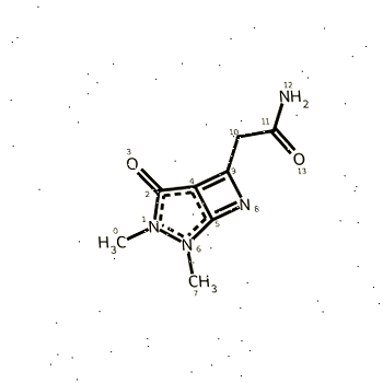 Cn1c(=O)c2c(n1C)=NC=2CC(N)=O